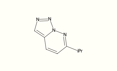 CC(C)c1ccc2cnnn2n1